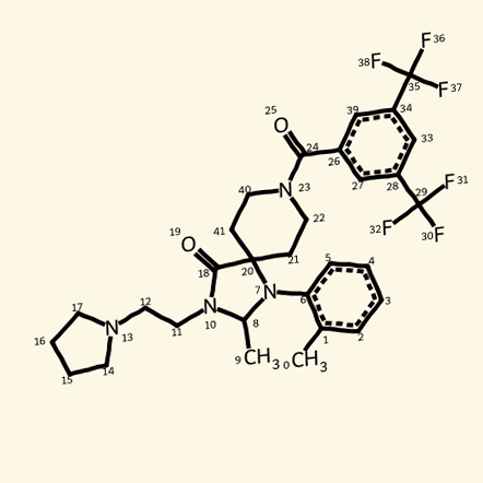 Cc1ccccc1N1C(C)N(CCN2CCCC2)C(=O)C12CCN(C(=O)c1cc(C(F)(F)F)cc(C(F)(F)F)c1)CC2